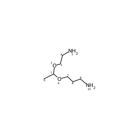 CC(OCCN)OCCCN